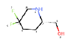 OC[C@@H]1CCC(F)(F)CN1